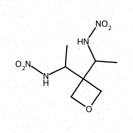 CC(N[N+](=O)[O-])C1(C(C)N[N+](=O)[O-])COC1